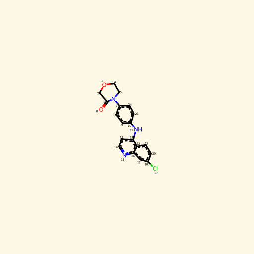 O=C1COCCN1c1ccc(Nc2ccnc3cc(Cl)ccc23)cc1